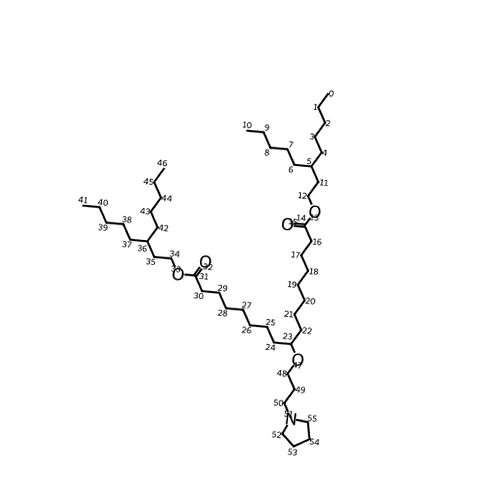 CCCCCC(CCCCC)CCOC(=O)CCCCCCCC(CCCCCCCC(=O)OCCC(CCCCC)CCCCC)OCCCN1CCCC1